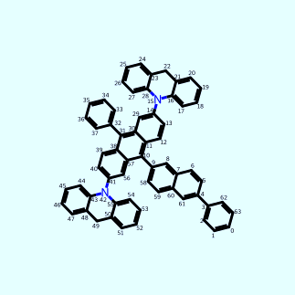 c1ccc(-c2ccc3cc(-c4c5ccc(N6c7ccccc7Cc7ccccc76)cc5c(-c5ccccc5)c5ccc(N6c7ccccc7Cc7ccccc76)cc45)ccc3c2)cc1